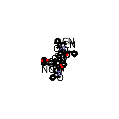 N#CC(C#N)=C1/C(=N/C2=Cc3sc4c5c(sc4c3C2(C(=O)OCc2ccccc2)C(=O)OCc2ccccc2)-c2sc(/N=C3/C(=O)c4ccccc4C3=C(C#N)C#N)cc2C5(C(=O)OCc2ccccc2)C(=O)OCc2ccccc2)C(=O)c2ccccc21